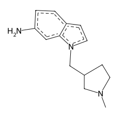 CN1CCC(Cn2ccc3ccc(N)cc32)C1